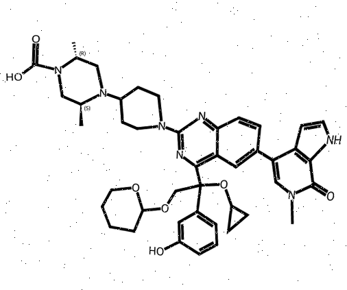 C[C@@H]1CN(C2CCN(c3nc(C(COC4CCCCO4)(OC4CC4)c4cccc(O)c4)c4cc(-c5cn(C)c(=O)c6[nH]ccc56)ccc4n3)CC2)[C@@H](C)CN1C(=O)O